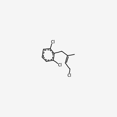 CC(=CCCl)Cc1c(Cl)cccc1Cl